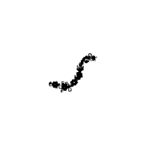 COc1ccc(COc2c(F)cc(C(=O)NCC3CCC(n4cc5ccc(-c6cnc(OCCN7CCN(C(=O)OC(C)(C)C)CC7)nc6)cc5n4)CC3)c(F)c2F)cc1